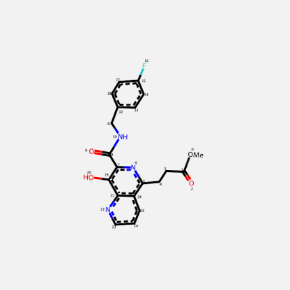 COC(=O)CCc1nc(C(=O)NCc2ccc(F)cc2)c(O)c2ncccc12